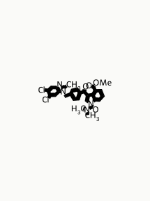 COC(=O)c1cccc2c1c(C(=O)c1ccc(Cn3c(C)nc4cc(Cl)c(Cl)cc43)cc1)cn2C(=O)N(C)C